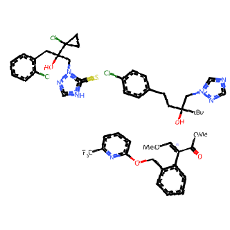 CC(C)(C)C(O)(CCc1ccc(Cl)cc1)Cn1cncn1.CO/C=C(/C(=O)OC)c1ccccc1COc1cccc(C(F)(F)F)n1.OC(Cc1ccccc1Cl)(Cn1nc[nH]c1=S)C1(Cl)CC1